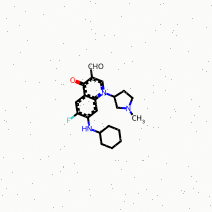 CN1CCC(n2cc(C=O)c(=O)c3cc(F)c(NC4CCCCC4)cc32)C1